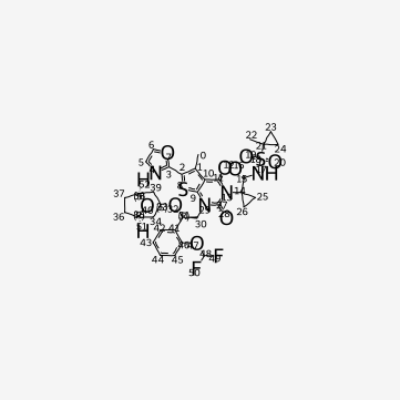 Cc1c(-c2ncco2)sc2c1c(=O)n(C1(C(=O)NS(=O)(=O)C3(C)CC3)CC1)c(=O)n2C[C@H](O[C@@H]1C[C@H]2CC[C@@H](C1)O2)c1ccccc1OC(F)F